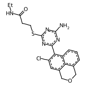 CCNC(=O)CCSc1nc(N)nc(-c2c(Cl)cc3c4c(cccc24)COC3)n1